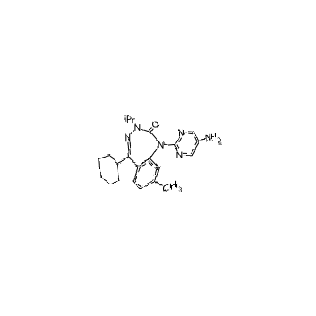 Cc1ccc2c(c1)N(c1ncc(N)cn1)C(=O)N(C(C)C)N=C2C1CCCCC1